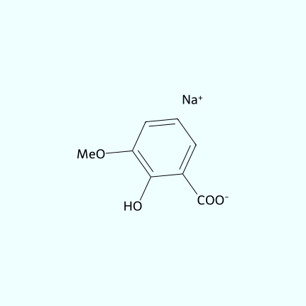 COc1cccc(C(=O)[O-])c1O.[Na+]